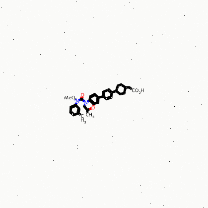 CON(C(=O)N1CC(C)Oc2cc(-c3ccc(C4CCC(CC(=O)O)CC4)cc3)ccc21)c1cccc(C)c1